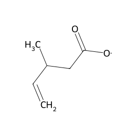 C=CC(C)CC([O])=O